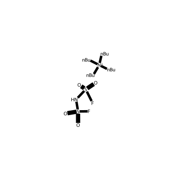 CCCC[N+](CCCC)(CCCC)CCCC.O=S(=O)(F)NS(=O)(=O)F